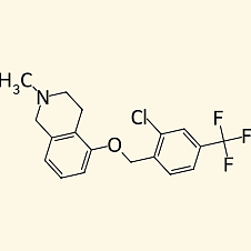 CN1CCc2c(cccc2OCc2ccc(C(F)(F)F)cc2Cl)C1